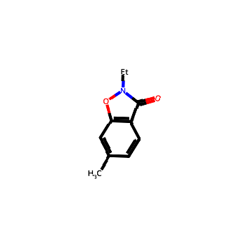 CCn1oc2cc(C)ccc2c1=O